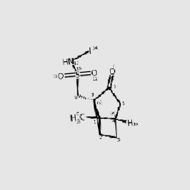 CC12C3C[C@H]1CC(=O)[C@]32CS(=O)(=O)NI